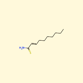 CCCCCCCC=CC(N)=S